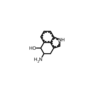 NC1Cc2c[nH]c3cccc(c23)C1O